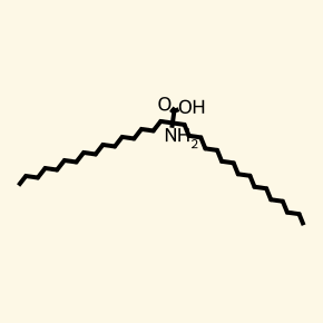 CCCCCCCCCCCCCCCCC(N)(CCCCCCCCCCCCCCCC)C(=O)O